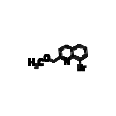 COCc1ccc2cccc(Br)c2n1